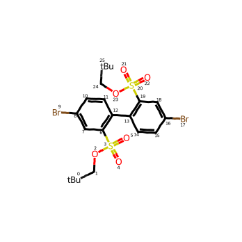 CC(C)(C)COS(=O)(=O)c1cc(Br)ccc1-c1ccc(Br)cc1S(=O)(=O)OCC(C)(C)C